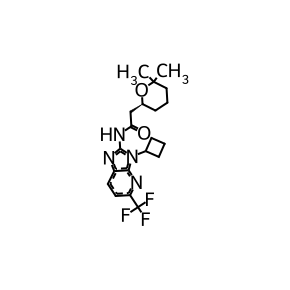 CC1(C)CCC[C@@H](CC(=O)Nc2nc3ccc(C(F)(F)F)nc3n2C2CCC2)O1